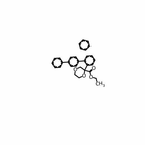 CCOC(=O)C1(c2ccccc2-c2ccc(-c3ccccc3)cc2)COCCO1.[c]1ccccc1